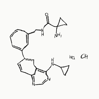 Cl.Cl.NC1(C(=O)NCc2cccc(-c3ccc4ncnc(NC5CC5)c4c3)c2)CC1